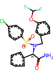 NC(=O)[C@@H](c1ccccc1)N(Cc1cccc(OC(F)F)c1)S(=O)(=O)c1ccc(Cl)cc1